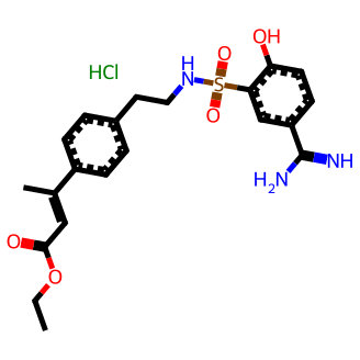 CCOC(=O)C=C(C)c1ccc(CCNS(=O)(=O)c2cc(C(=N)N)ccc2O)cc1.Cl